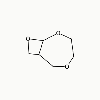 C1COC2OCC2CO1